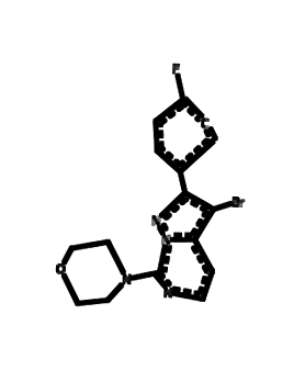 Fc1ccc(-c2nn3c(N4CCOCC4)nccc3c2Br)cc1